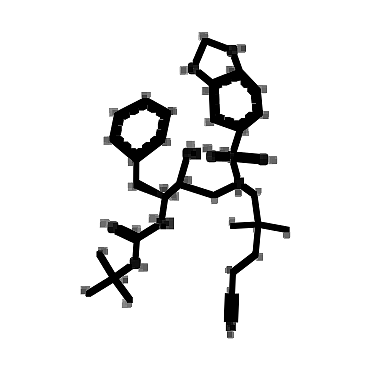 CC(C)(CCC#N)CN(CC(O)[C@H](Cc1ccccc1)NC(=O)OC(C)(C)C)S(=O)(=O)c1ccc2c(c1)OCO2